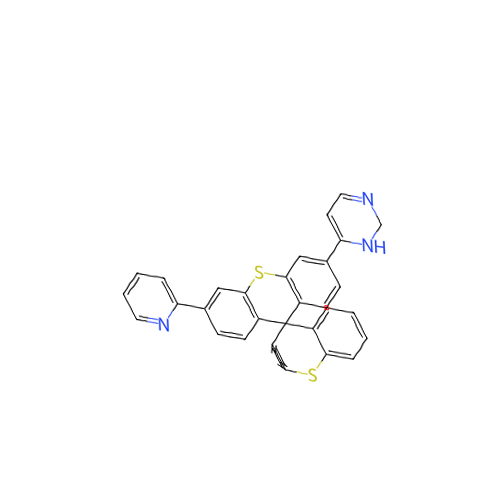 C1=NCNC(c2ccc3c(c2)Sc2cc(-c4ccccn4)ccc2C32c3ccccc3Sc3ccccc32)=C1